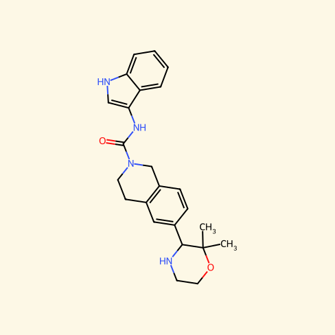 CC1(C)OCCNC1c1ccc2c(c1)CCN(C(=O)Nc1c[nH]c3ccccc13)C2